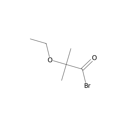 CCOC(C)(C)C(=O)Br